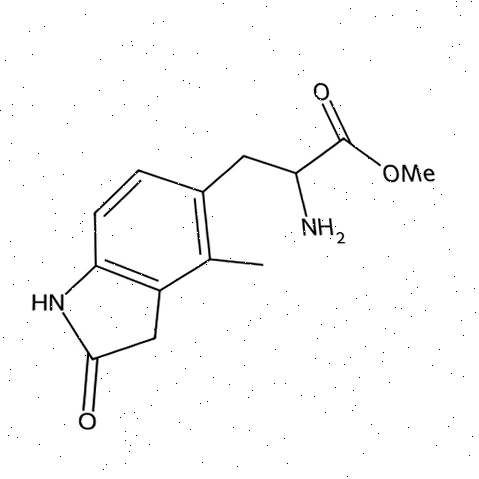 COC(=O)C(N)Cc1ccc2c(c1C)CC(=O)N2